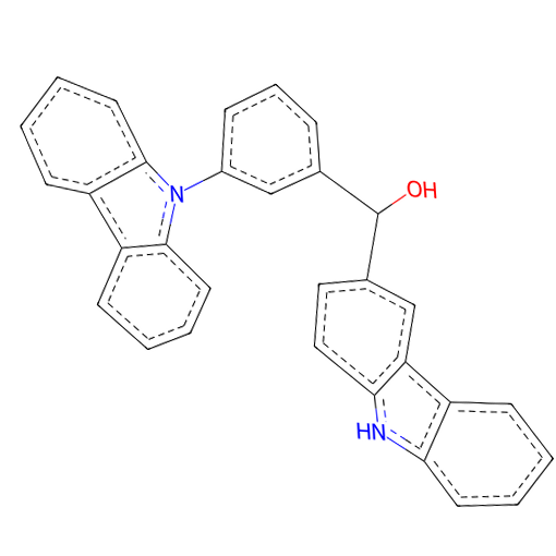 OC(c1cccc(-n2c3ccccc3c3ccccc32)c1)c1ccc2[nH]c3ccccc3c2c1